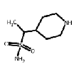 CC(C1CCNCC1)S(N)(=O)=O